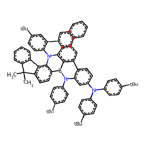 CC(C)(C)c1ccc(N2B3c4ccc5c(c4N(c4ccc(C(C)(C)C)cc4-c4ccccc4)c4cc(-c6ccccc6)cc(c43)-c3ccc(N(c4ccc(C(C)(C)C)cc4)c4ccc(C(C)(C)C)cc4)cc32)-c2ccccc2C5(C)C)cc1